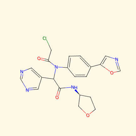 O=C(N[C@H]1CCOC1)C(c1cncnc1)N(C(=O)CCl)c1ccc(-c2cnco2)cc1